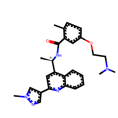 Cc1ccc(OCCN(C)C)cc1C(=O)N[C@H](C)c1cc(-c2cnn(C)c2)nc2ccccc12